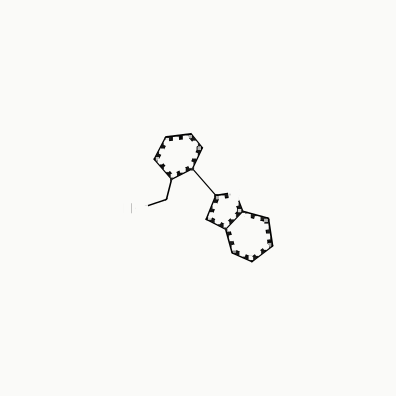 OCc1ccccc1-c1cc2ccccc2o1